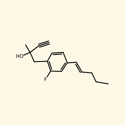 C#CC(C)(O)Cc1ccc(C=CCCC)cc1F